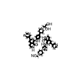 N#CCN1CCC(n2cc(Nc3nc(-c4cncnc4)cc4cc[nH]c(=O)c34)cn2)CC1.O=c1[nH]ccc2cc(-c3cncnc3)nc(Nc3ccc(C4CCN(CC(O)CO)CC4)cc3)c12